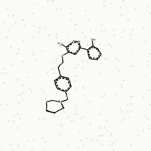 Nc1nnc(-c2ccccc2O)cc1OCCc1ccc(CN2CCCCC2)cc1